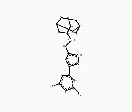 Fc1cc(F)cc(-c2nc(CNC34CC5CC(CC(C5)C3)C4)no2)c1